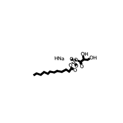 CCCCCCCCCCCC(=O)OS(=O)(=O)OC(=O)C(O)CO.[NaH]